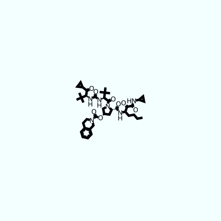 CCCCC(NC(=O)[C@@H]1C[C@@H](OC(=O)N2CCc3ccccc3C2)CN1C(=O)[C@@H](NC(=O)N[C@H](C(=O)C1CC1)C(C)(C)C)C(C)(C)C)C(=O)C(=O)NC1CC1